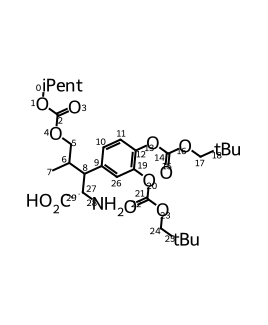 CCCC(C)OC(=O)OCC(C)C(c1ccc(OC(=O)OCC(C)(C)C)c(OC(=O)OCC(C)(C)C)c1)[C@H](N)C(=O)O